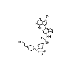 Nc1ncnc2c1c(-c1ccc(NC(=O)Nc3ccc(CN4CCN(CCO)CC4)c(C(F)(F)F)c3)c3nccn13)cn2C1CC1